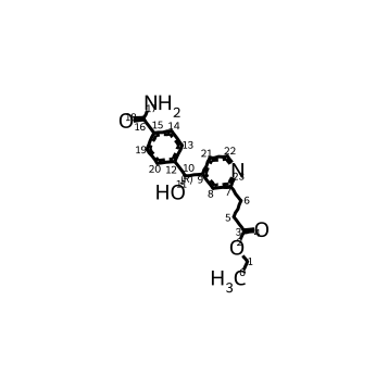 CCOC(=O)CCc1cc([C@H](O)c2ccc(C(N)=O)cc2)ccn1